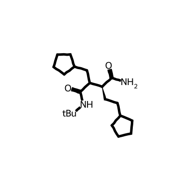 CC(C)(C)NC(=O)C(CC1CCCC1)[C@H](CCC1CCCC1)C(N)=O